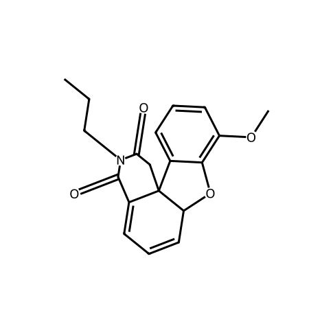 CCCN1C(=O)CC23C(=CC=CC2Oc2c(OC)cccc23)C1=O